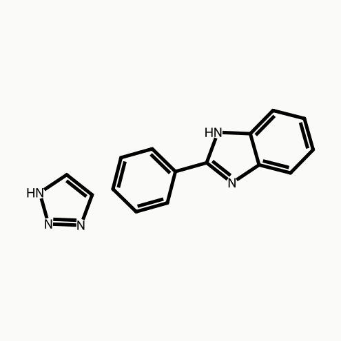 c1c[nH]nn1.c1ccc(-c2nc3ccccc3[nH]2)cc1